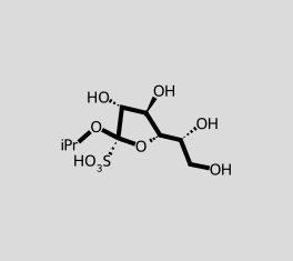 CC(C)O[C@]1(S(=O)(=O)O)O[C@@H]([C@H](O)CO)[C@H](O)[C@H]1O